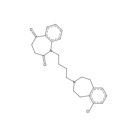 O=C1CCC(=O)N(CCCCN2CCc3cccc(Cl)c3CC2)c2ccccc21